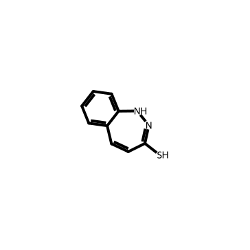 SC1=NNc2ccccc2C=C1